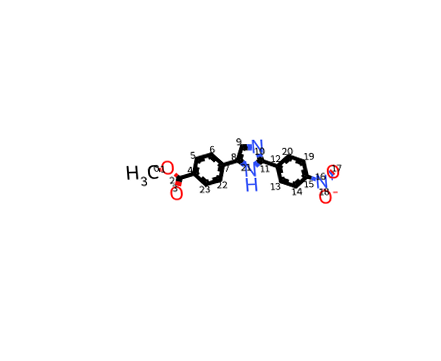 COC(=O)c1ccc(-c2cnc(-c3ccc([N+](=O)[O-])cc3)[nH]2)cc1